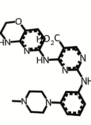 CN1CCN(c2cccc(Nc3ncc(C(=O)O)c(Nc4ccc5c(n4)NCCO5)n3)c2)CC1